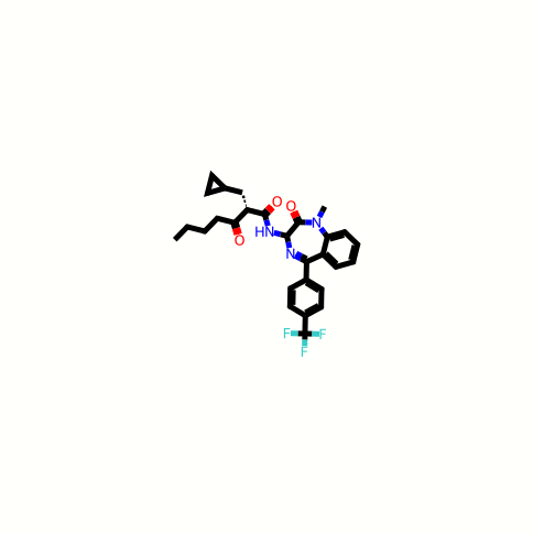 CCCCC(=O)[C@H](CC1CC1)C(=O)NC1N=C(c2ccc(C(F)(F)F)cc2)c2ccccc2N(C)C1=O